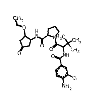 CCOC1CC(=O)CC1NC(=O)C1CCCN1C(=O)C(NC(=O)c1ccc(N)c(Cl)c1)C(C)(C)C